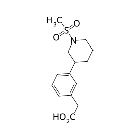 CS(=O)(=O)N1CCCC(c2cccc(CC(=O)O)c2)C1